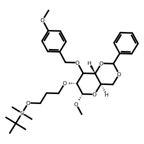 COc1ccc(COC2[C@@H](OCCCO[Si](C)(C)C(C)(C)C)[C@@H](OC)O[C@@H]3COC(c4ccccc4)O[C@@H]23)cc1